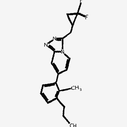 CCCc1cccc(-c2ccn3c(CC4CC4(F)F)nnc3c2)c1C